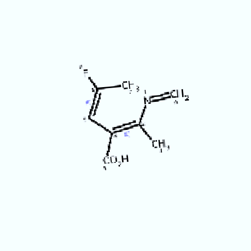 C=N/C(C)=C(\C=C(/C)F)C(=O)O